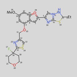 CCC1Nn2cc(-c3cc4c(OCc5csc(C6(F)CCOCC6)n5)cc(OC)cc4o3)nc2S1